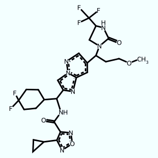 COCCC(c1cnn2cc(C(NC(=O)c3nonc3C3CC3)C3CCC(F)(F)CC3)nc2c1)N1CC(C(F)(F)F)NC1=O